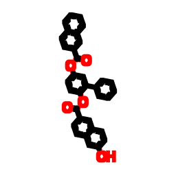 O=C(Oc1ccc(OC(=O)c2ccc3cc(O)ccc3c2)c(-c2ccccc2)c1)c1ccc2ccccc2c1